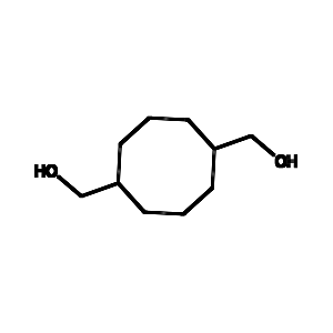 OCC1CCCC(CO)CCC1